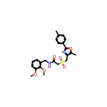 COc1cccc(CNC(=O)CS(=O)(=O)Cc2nc(-c3ccc(C)cc3)oc2C)c1OC